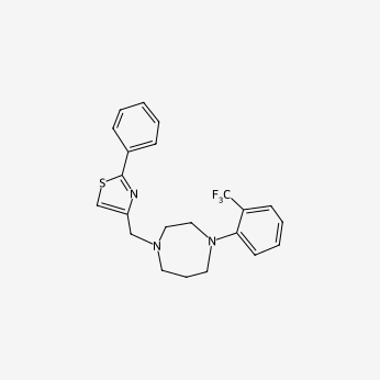 FC(F)(F)c1ccccc1N1CCCN(Cc2csc(-c3ccccc3)n2)CC1